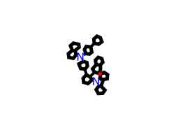 c1ccc(-c2ccc(N(c3ccc(-c4cccc(-n5c6ccccc6c6ccccc65)c4-c4ccc5ccccc5c4)cc3)c3cccc4ccccc34)cc2)cc1